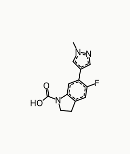 Cn1cc(-c2cc3c(cc2F)CCN3C(=O)O)cn1